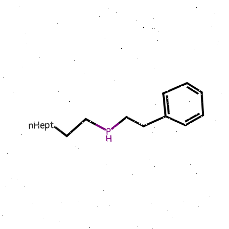 CCCCCCCCCPCCc1ccccc1